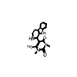 Cn1c(O)c(C2NCCc3c2[nH]c2ccccc32)c(=O)n(C)c1=O